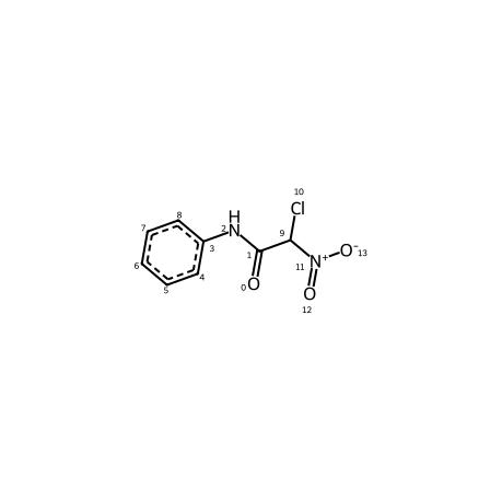 O=C(Nc1ccccc1)C(Cl)[N+](=O)[O-]